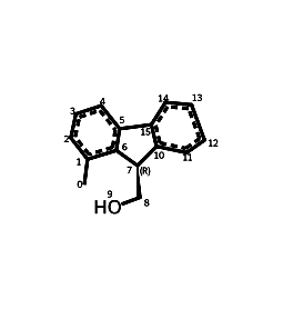 Cc1cccc2c1[C@H](CO)c1ccccc1-2